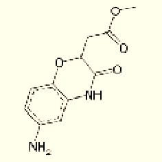 COC(=O)CC1Oc2ccc(N)cc2NC1=O